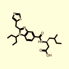 CCC(C)C[C@@H](CC(=O)O)NC(=O)c1ccc2c(c1)nc(Cc1cncs1)n2C(CC)CC